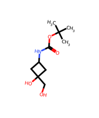 CC(C)(C)OC(=O)NC1CC(O)(CO)C1